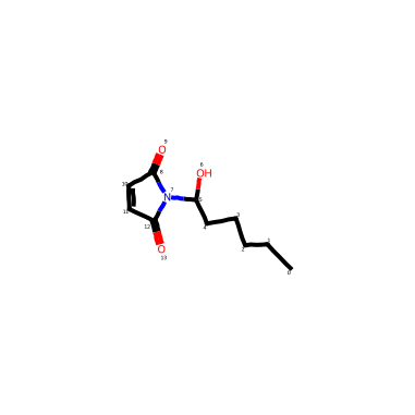 CCCCCC(O)N1C(=O)C=CC1=O